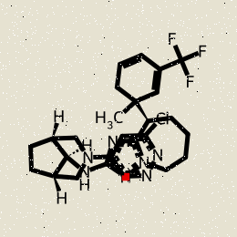 CC1([C@H]2CCCCn3nc(N[C@@H]4[C@@H]5CC[C@H]4CN(c4cnnc(Cl)c4)C5)nc32)C=C(C(F)(F)F)C=CC1